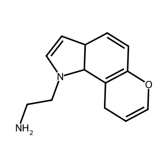 NCCN1C=CC2C=CC3=C(CC=CO3)C21